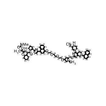 CNC(=O)OC(C)C(=O)NC(C(=O)N1CCC[C@H]1c1nc(-c2ccc(OCCOCCOCCO[C@@H]3C[C@@H](COc4nc5c(c(N6CCN[C@@H](CC#N)C6)n4)CCN(c4cccc6ccccc46)C5)N(C)C3)c3ccccc23)cs1)C1CCCCC1